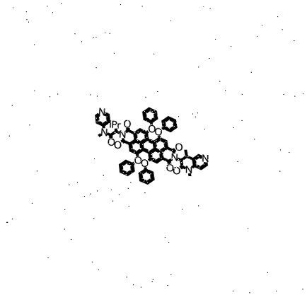 CC(C)C(C(=O)N(C)c1ccncc1)N1C(=O)c2cc(Oc3ccccc3)c3c4c(Oc5ccccc5)cc5c6c(cc(Oc7ccccc7)c(c7c(Oc8ccccc8)cc(c2c37)C1=O)c64)C(=O)N(C1C(=O)N(C)c2ccncc2C1C)C5=O